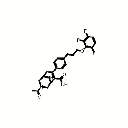 CC(=O)N1CC2CC(c3ccc(CCCOc4c(F)ccc(F)c4F)cc3)=C(C(=O)O)C(C1)N2